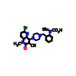 Cn1c(=O)c(C#N)c(N2CCN(Cc3ccccc3N(C(=O)O)C(C)(C)C)CC2)c2nc(Br)ccc21